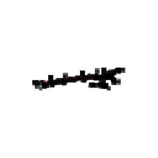 CN[C@@H](CCCCNC(=O)COCCOCCOCC(=O)NCCCOCCOCCOCCCNC(=O)COCCOCCOCC(=O)NCCCC[C@H](NC(=O)CCCC(=O)NC(CNC(C)(C)/C(C)=N/O)CNC(C)(C)/C(C)=N/O)C(=O)NCCCC[C@H](NC)C(N)=O)C(N)=O